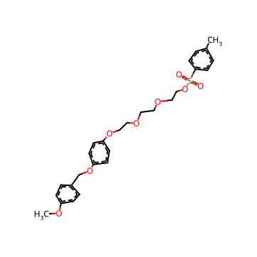 COc1ccc(COc2ccc(OCCOCCOCCOS(=O)(=O)c3ccc(C)cc3)cc2)cc1